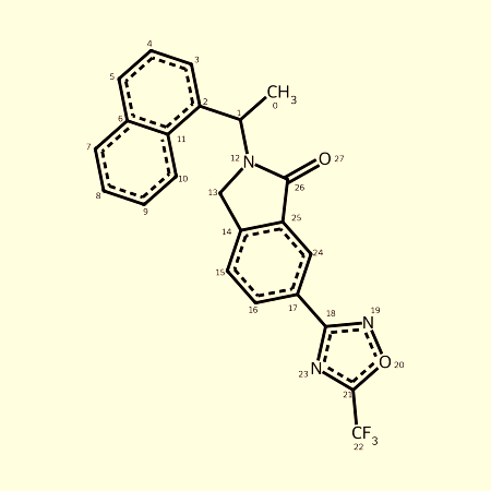 CC(c1cccc2ccccc12)N1Cc2ccc(-c3noc(C(F)(F)F)n3)cc2C1=O